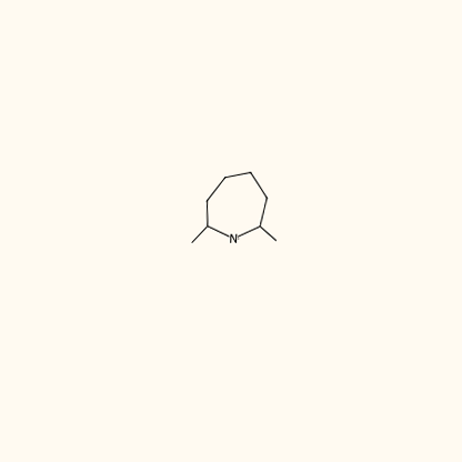 CC1CCCCC(C)[N]1